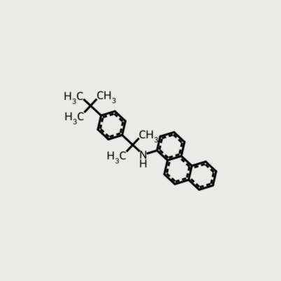 CC(C)(C)c1ccc(C(C)(C)Nc2cccc3c2ccc2ccccc23)cc1